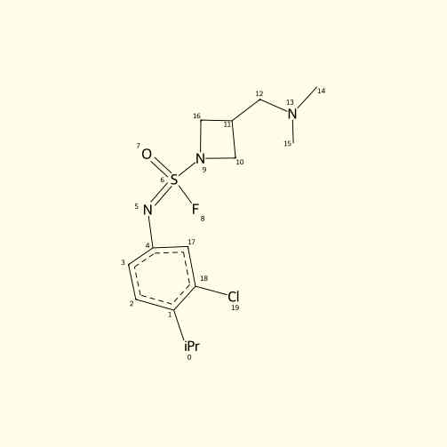 CC(C)c1ccc(N=S(=O)(F)N2CC(CN(C)C)C2)cc1Cl